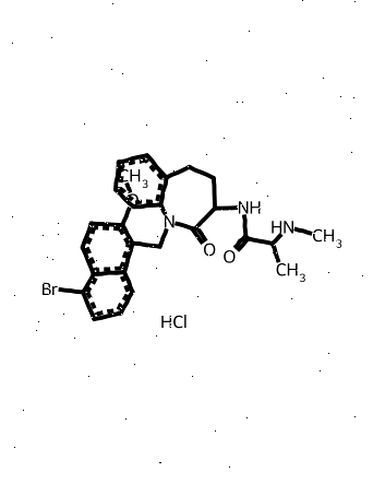 CNC(C)C(=O)NC1CCc2ccccc2N(Cc2c(OC)ccc3c(Br)cccc23)C1=O.Cl